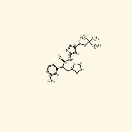 Cc1cccc(N(CC2CCCC2)C(=O)Nc2ncc(SCC(C)(C)C(=O)O)s2)c1